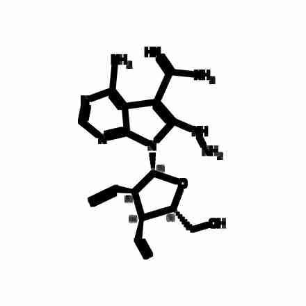 C=C[C@@H]1[C@H](C=C)[C@@H](CO)O[C@H]1n1c(NN)c(C(=N)N)c2c(N)ncnc21